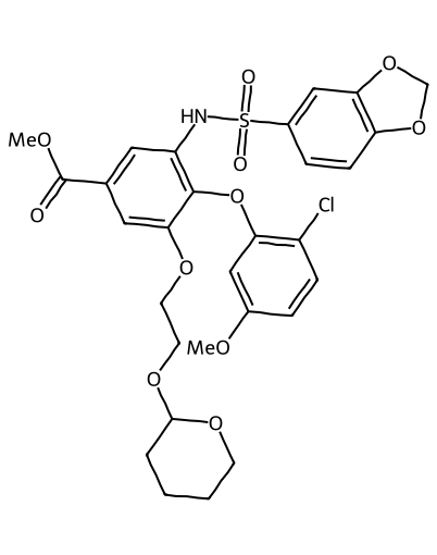 COC(=O)c1cc(NS(=O)(=O)c2ccc3c(c2)OCO3)c(Oc2cc(OC)ccc2Cl)c(OCCOC2CCCCO2)c1